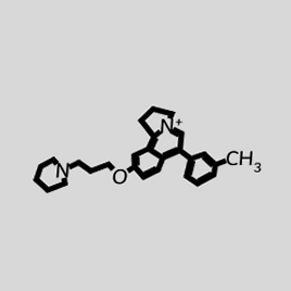 Cc1cccc(-c2c[n+]3c(c4cc(OCCCN5CCCCC5)ccc24)CCC3)c1